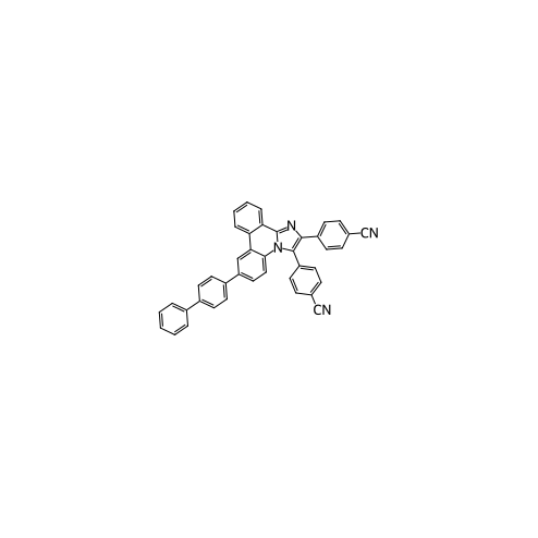 N#Cc1ccc(-c2nc3c4ccccc4c4cc(-c5ccc(-c6ccccc6)cc5)ccc4n3c2-c2ccc(C#N)cc2)cc1